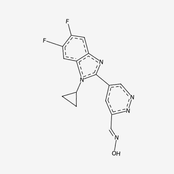 O/N=C/c1cc(-c2nc3cc(F)c(F)cc3n2C2CC2)cnn1